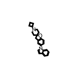 c1ccc2c(c1)ccn2-c1ccc2c(c1)CC1(CCN(C3CCC3)CC1)O2